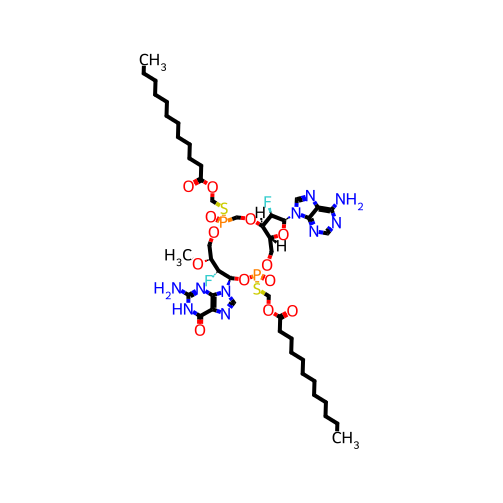 CCCCCCCCCCCC(=O)OCSP1(=O)CO[C@H]2[C@@H](F)[C@H](n3cnc4c(N)ncnc43)O[C@@H]2COP(=O)(SCOC(=O)CCCCCCCCCCC)O[C@@H](n2cnc3c(=O)[nH]c(N)nc32)[C@H](F)[C@H](OC)CO1